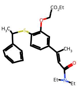 CCOC(=O)COc1cc(/C(C)=C/C(=O)N(CC)CC)ccc1SC(C)c1ccccc1